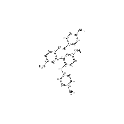 Nc1ccc(SSc2ccc(N)cc2-c2cc(N)ccc2Sc2ccc(N)cc2)cc1